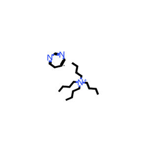 CCCC[N+](CCCC)(CCCC)CCCC.[C]1=CN=CN=CC1